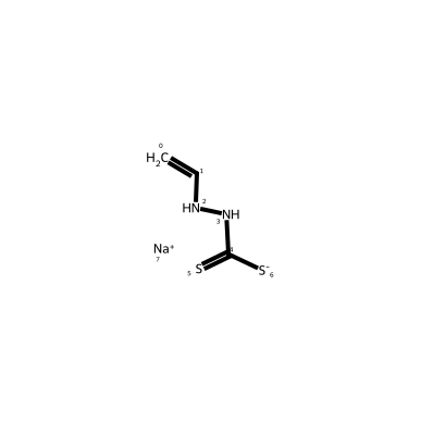 C=CNNC(=S)[S-].[Na+]